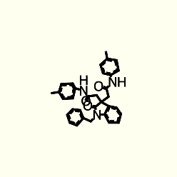 Cc1ccc(NC(=O)CC2(CC(=O)Nc3ccc(C)cc3)C(=O)N(Cc3ccccc3)c3ccccc32)cc1